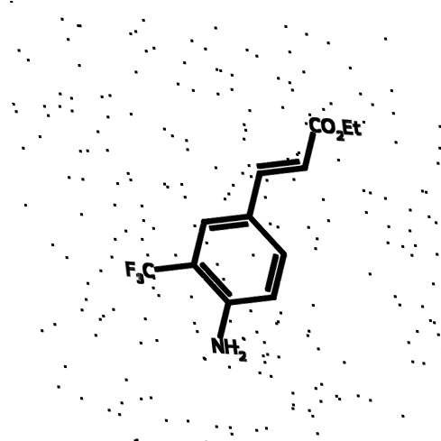 CCOC(=O)/C=C/c1ccc(N)c(C(F)(F)F)c1